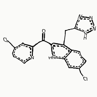 O=C(c1cc(Cl)ccn1)c1[nH]c2cc(Cl)ccc2c1Cc1nnn[nH]1